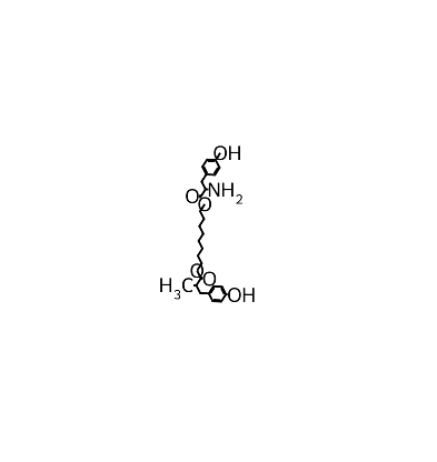 CC(Cc1ccc(O)cc1)C(=O)OCCCCCCCCOC(=O)C(N)Cc1ccc(O)cc1